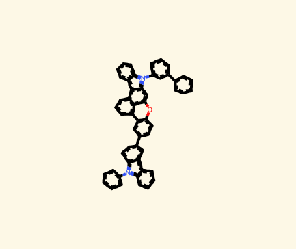 c1ccc(-c2cccc(-n3c4ccccc4c4c5cccc6c5c(cc43)Oc3ccc(-c4ccc5c(c4)c4ccccc4n5-c4ccccc4)cc3-6)c2)cc1